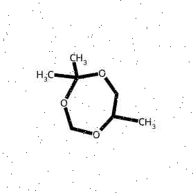 CC1COC(C)(C)OCO1